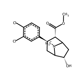 COC(=O)[C@@H]1C2C[C@H](O)C(C[C@H]1c1ccc(Cl)c(Cl)c1)N2C